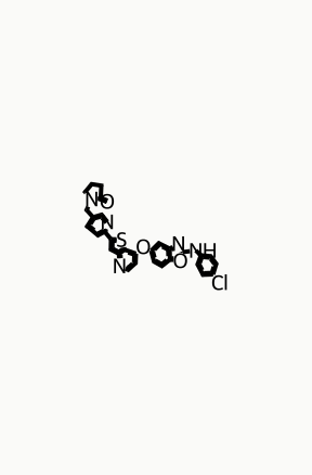 O=C1CCCN1Cc1ccc(-c2cc3nccc(Oc4ccc5oc(Nc6ccc(Cl)cc6)nc5c4)c3s2)nc1